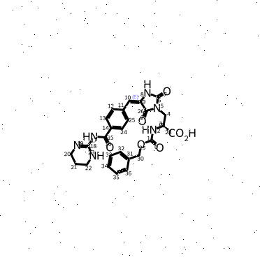 O=C(N[C@@H](CN1C(=O)N/C(=C/c2ccc(C(=O)NC3=NCCCN3)cc2)C1=O)C(=O)O)OCc1ccccc1